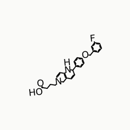 O=C(O)CCCN1C=CC2=C(C=CC(c3ccc(OCc4cccc(F)c4)cc3)N2)C1